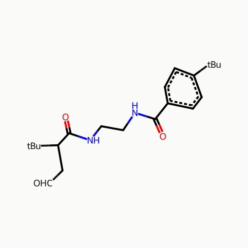 CC(C)(C)c1ccc(C(=O)NCCNC(=O)C(CC=O)C(C)(C)C)cc1